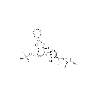 CCNC(=O)Nc1ncnc2c1ncn2[C@@H]1O[C@H](COP(C)(=O)O)C2O[C@@H](c3ccccc3)O[C@@H]21